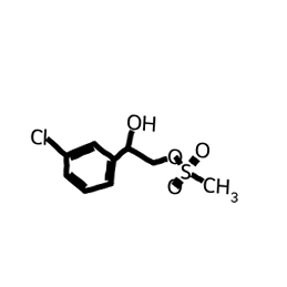 CS(=O)(=O)OCC(O)c1cccc(Cl)c1